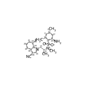 Cc1cc(C)c(S(=O)(=O)N(C)C(C)Cn2cc(C#N)c3cccc(F)c32)c(N)c1